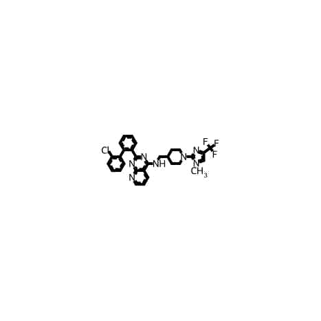 Cn1cc(C(F)(F)F)nc1N1CCC(CNc2nc(-c3ccccc3-c3ccccc3Cl)nc3ncccc23)CC1